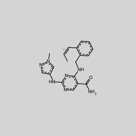 C/C=C\c1ccccc1CNc1nc(Nc2cnn(C)c2)ncc1C(N)=O